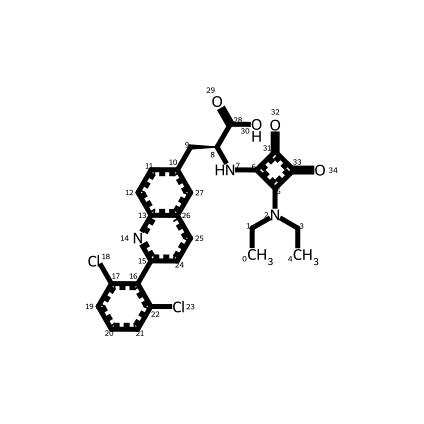 CCN(CC)c1c(N[C@@H](Cc2ccc3nc(-c4c(Cl)cccc4Cl)ccc3c2)C(=O)O)c(=O)c1=O